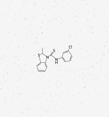 CC1Sc2ccccc2N1C(=S)Nc1cccc(Cl)c1